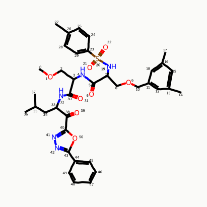 COCC(NC(=O)C(COCc1cc(C)cc(C)c1)NS(=O)(=O)c1ccc(C)cc1)C(=O)NC(CC(C)C)C(=O)c1nnc(-c2ccccc2)o1